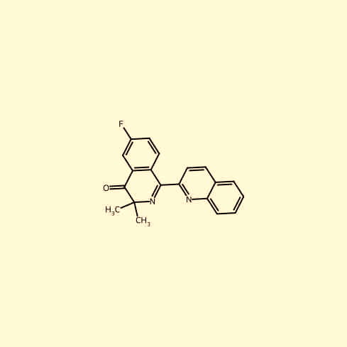 CC1(C)N=C(c2ccc3ccccc3n2)c2ccc(F)cc2C1=O